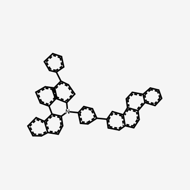 c1ccc(-c2ccc(N(c3ccc(-c4ccc5ccc6c7ccccc7ccc6c5c4)cc3)c3ccc4ccccc4c3-c3ccccc3)cc2)cc1